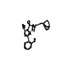 O=C(NCC12CC(C1)C2)c1nc(-c2ccccc2F)sc1Br